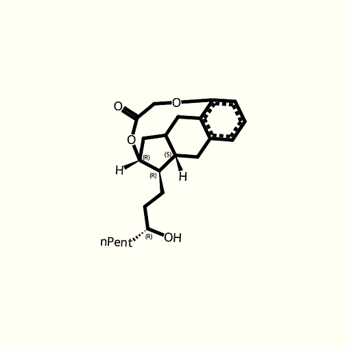 CCCCC[C@@H](O)CC[C@H]1[C@H]2CC3Cc4c(cccc4OCC(=O)O2)C[C@@H]31